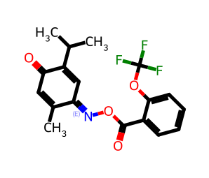 CC1=CC(=O)C(C(C)C)=C/C1=N\OC(=O)c1ccccc1OC(F)(F)F